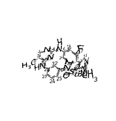 Cc1cnc(Nc2ccc(-c3cnn(C)c3)c(F)c2)nc1Nc1cccc(NS(=O)(=O)C(C)(C)C)c1